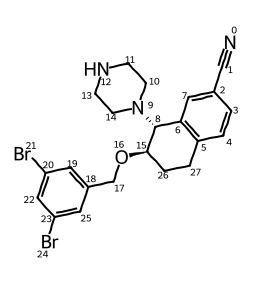 N#Cc1ccc2c(c1)[C@@H](N1CCNCC1)[C@H](OCc1cc(Br)cc(Br)c1)CC2